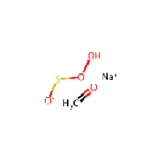 C=O.[Na+].[O-]SOO